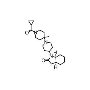 CC1(N2CCC(N3C(=O)C[C@H]4CCCC[C@@H]43)CC2)CCN(C(=O)C2CC2)CC1